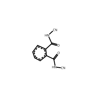 N#CNC(=O)c1ccccc1C(=O)NC#N